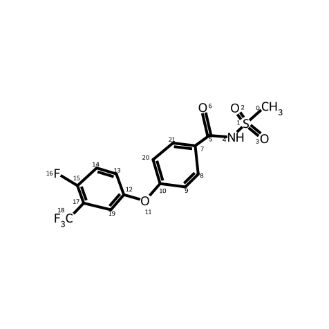 CS(=O)(=O)NC(=O)c1ccc(Oc2ccc(F)c(C(F)(F)F)c2)cc1